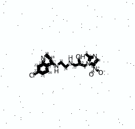 Cc1ncc([N+](=O)[O-])n1CC(O)CNCCNc1ccnc2cc(Cl)ccc12